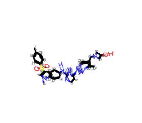 Cc1ccc(S(=O)(=O)c2cn(C)c3ccc(Nc4nccc(-n5cc(CN6CC(O)C6)c(C)n5)n4)cc23)cc1